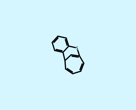 C1=CC2=CC(C=C1)c1ccccc1S2